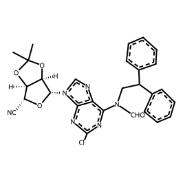 CC1(C)O[C@@H]2[C@H](O1)[C@@H](C#N)O[C@H]2n1cnc2c(N(C=O)CC(c3ccccc3)c3ccccc3)nc(Cl)nc21